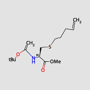 C=CCCCSC[C@H](NC(=C)OC(C)(C)C)C(=O)OC